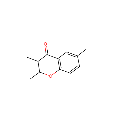 Cc1ccc2c(c1)C(=O)C(C)C(C)O2